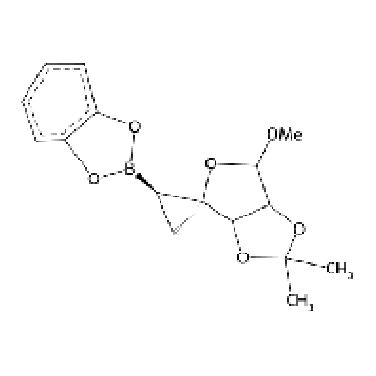 COC1O[C@@]2(C[C@H]2B2Oc3ccccc3O2)C2OC(C)(C)OC12